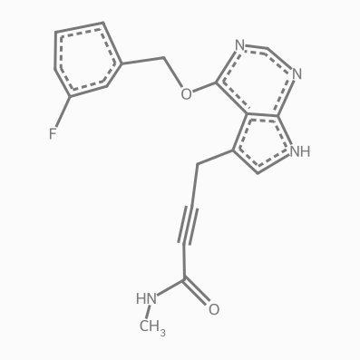 CNC(=O)C#CCc1c[nH]c2ncnc(OCc3cccc(F)c3)c12